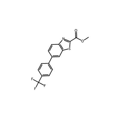 COC(=O)c1nc2ccc(-c3ccc(C(F)(F)F)cc3)cc2s1